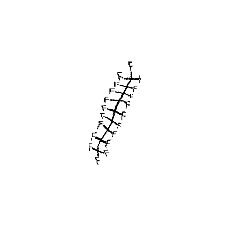 FC(F)(F)C(F)(F)C(F)(F)C(F)(F)C(F)(F)C(F)(F)C(F)(F)C(F)(F)C(F)(F)I